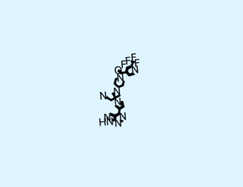 N#CCC1(n2ccc(-c3ncnc4[nH]ncc34)c2)CN(C2CCN(C(=O)c3ccnc(C(F)(F)F)c3F)CC2)C1